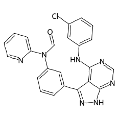 O=CN(c1cccc(-c2n[nH]c3ncnc(Nc4cccc(Cl)c4)c23)c1)c1ccccn1